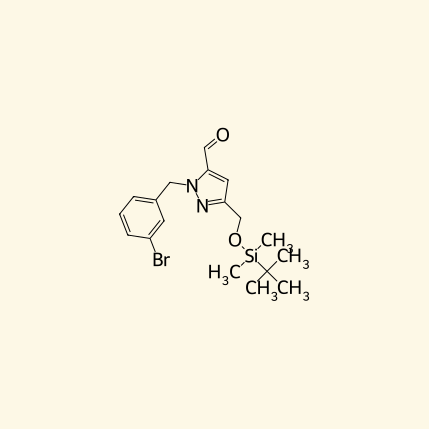 CC(C)(C)[Si](C)(C)OCc1cc(C=O)n(Cc2cccc(Br)c2)n1